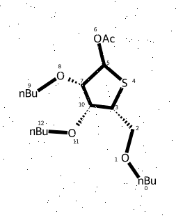 CCCCOC[C@H]1SC(OC(C)=O)[C@@H](OCCCC)[C@H]1OCCCC